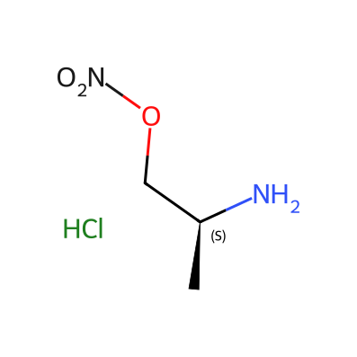 C[C@H](N)CO[N+](=O)[O-].Cl